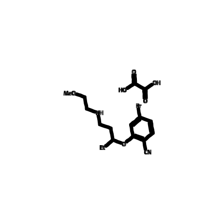 CCC(CCNCCOC)Oc1cc(Br)ccc1C#N.O=C(O)C(=O)O